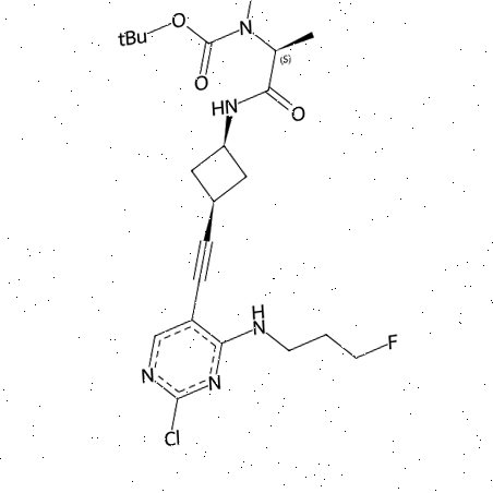 C[C@@H](C(=O)N[C@H]1C[C@@H](C#Cc2cnc(Cl)nc2NCCCF)C1)N(C)C(=O)OC(C)(C)C